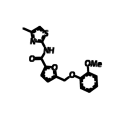 COc1ccccc1OCc1ccc(C(=O)Nc2nc(C)cs2)o1